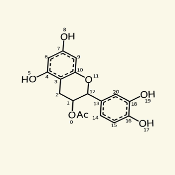 CC(=O)OC1Cc2c(O)cc(O)cc2OC1c1ccc(O)c(O)c1